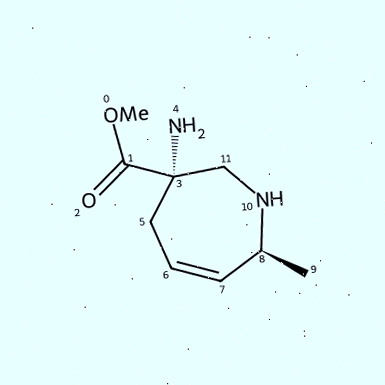 COC(=O)[C@]1(N)CC=C[C@H](C)NC1